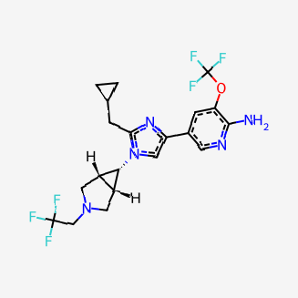 Nc1ncc(-c2cn([C@@H]3[C@@H]4CN(CC(F)(F)F)C[C@@H]43)c(CC3CC3)n2)cc1OC(F)(F)F